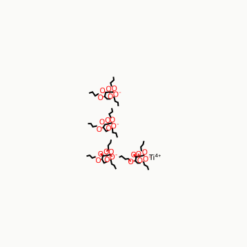 CCCCOC(CC)C(=O)C(OCCCC)(OCCCC)C(=O)[O-].CCCCOC(CC)C(=O)C(OCCCC)(OCCCC)C(=O)[O-].CCCCOC(CC)C(=O)C(OCCCC)(OCCCC)C(=O)[O-].CCCCOC(CC)C(=O)C(OCCCC)(OCCCC)C(=O)[O-].[Ti+4]